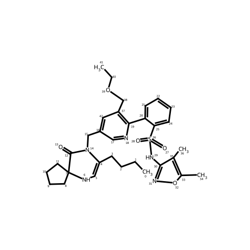 CCCCC1=CNC2(CCCC2)C(=O)N1Cc1cnc(-c2ccccc2S(=O)(=O)Nc2noc(C)c2C)c(COCC)c1